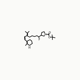 CC(C)=C(/C=C\C1=C(C)NCCC1)CCCCC(F)C1CCN(C(=O)OC(C)(C)C)C1